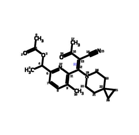 CC(=O)OC(C)c1ccc(C)c(/C(=C(/C#N)C(C)=O)N2CCC3(CC2)CC3)n1